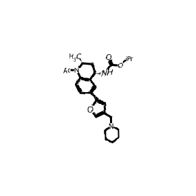 CC(=O)N1c2ccc(-c3cc(CN4CCCCC4)co3)cc2[C@@H](NC(=O)OC(C)C)C[C@H]1C